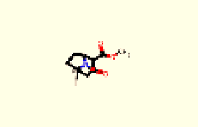 COC(=O)C1C(=O)C[C@@H]2CCC1N2C